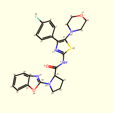 O=C(Nc1nc(-c2ccc(F)cc2)c(N2CCOCC2)s1)C1CCCN1c1nc2ccccc2o1